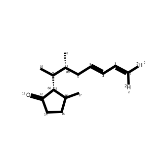 [2H]C([2H])=CC=CC[C@@H](C)C(C)[C@H]1C(=O)CCC1C